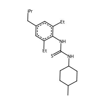 CCc1cc(CC(C)C)cc(CC)c1NC(=S)NC1CCC(C)CC1